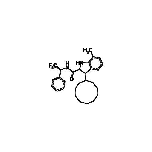 Cc1cccc2c1NC(C(=O)N[C@@H](c1ccccc1)C(F)(F)F)C2C1CCCCCCCCC1